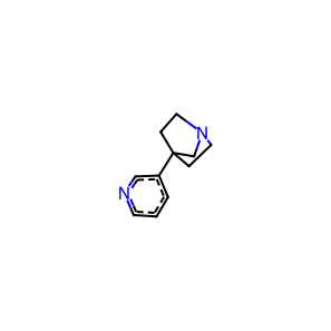 c1cncc(C23CCN(CC2)C3)c1